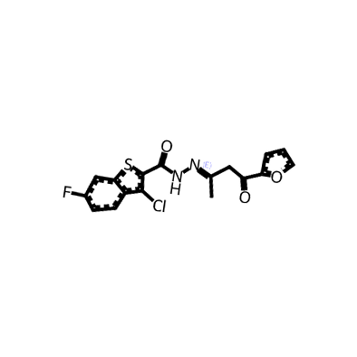 C/C(CC(=O)c1ccco1)=N\NC(=O)c1sc2cc(F)ccc2c1Cl